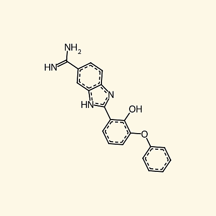 N=C(N)c1ccc2nc(-c3cccc(Oc4ccccc4)c3O)[nH]c2c1